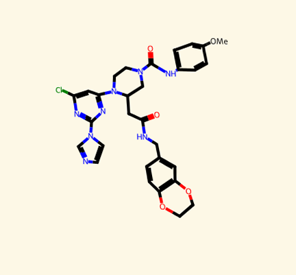 COc1ccc(NC(=O)N2CCN(c3cc(Cl)nc(-n4ccnc4)n3)C(CC(=O)NCc3ccc4c(c3)OCCO4)C2)cc1